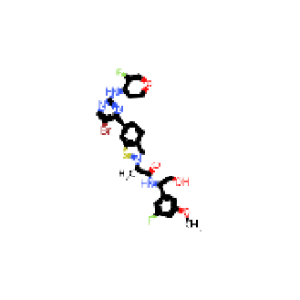 COc1cc(F)cc(C(CO)NC(=O)C(C)N2Cc3ccc(-c4nc(NC5CCOCC5F)ncc4Br)cc3S2)c1